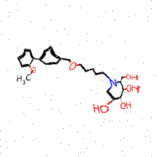 COc1ccccc1-c1ccc(COCCCCCN2C[C@H](O)[C@@H](O)[C@H](O)[C@@H]2CO)cc1